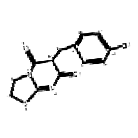 O=C1N=C2SCCN2C(=O)C1Cc1ccc(Cl)cc1